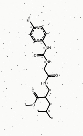 COC(=O)C(CNC(=O)CNC(=O)Nc1ccc(Br)cc1)CC(C)C